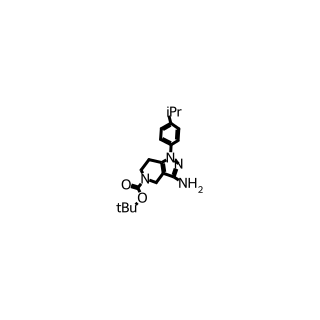 CC(C)c1ccc(-n2nc(N)c3c2CCN(C(=O)OC(C)(C)C)C3)cc1